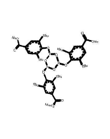 COC(=O)c1cc(C(C)(C)C)c(OP2OP(Oc3c(C(C)(C)C)cc(C(=O)OC)cc3C(C)(C)C)OP(Oc3c(C(C)(C)C)cc(C(=O)OC)cc3C(C)(C)C)O2)c(C(C)(C)C)c1